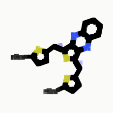 CCCCCCc1ccc(/C=c2\s/c(=C\c3ccc(CCCCCC)s3)c3nc4ccccc4nc23)s1